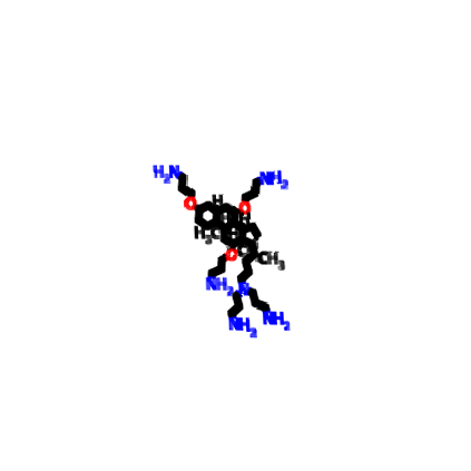 C[C@H](CCCN(CCCN)CCCN)[C@H]1CC[C@H]2[C@@H]3[C@H](OCCCN)C[C@@H]4C[C@H](OCCCN)CC[C@]4(C)[C@H]3C[C@H](OCCCN)[C@]12C